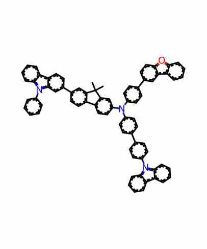 CC1(C)c2cc(-c3ccc4c5ccccc5n(-c5ccccc5)c4c3)ccc2-c2ccc(N(c3ccc(-c4ccc(-n5c6ccccc6c6ccccc65)cc4)cc3)c3ccc(-c4ccc5oc6ccccc6c5c4)cc3)cc21